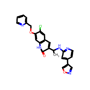 CC(Nc1cc(-c2cnoc2)ccn1)c1cc2cc(Cl)c(OCc3ccccn3)cc2[nH]c1=O